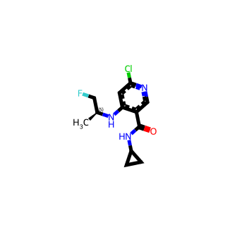 C[C@@H](CF)Nc1cc(Cl)ncc1C(=O)NC1CC1